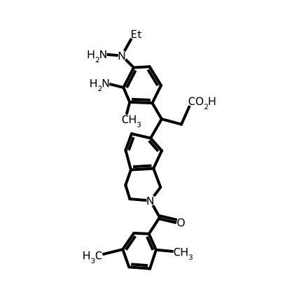 CCN(N)c1ccc(C(CC(=O)O)c2ccc3c(c2)CN(C(=O)c2cc(C)ccc2C)CC3)c(C)c1N